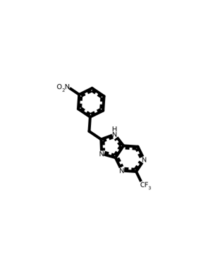 O=[N+]([O-])c1cccc(Cc2nc3nc(C(F)(F)F)ncc3[nH]2)c1